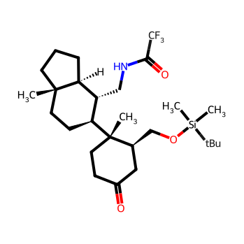 CC(C)(C)[Si](C)(C)OC[C@H]1CC(=O)CC[C@]1(C)[C@H]1CC[C@]2(C)CCC[C@H]2[C@@H]1CNC(=O)C(F)(F)F